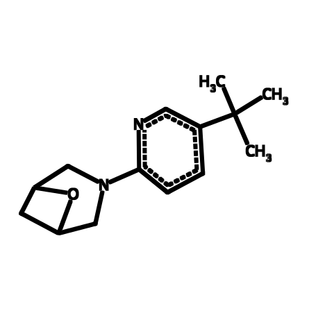 CC(C)(C)c1ccc(N2CC3CC(C2)O3)nc1